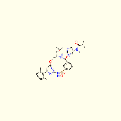 Cc1cccc(C)c1-c1cc2nc(n1)NS(=O)(=O)c1cccc(c1)C(=O)N(Cc1ncc(N(C)C(=O)C(C)C)cn1)[C@H](CC(C)(C)C)CO2